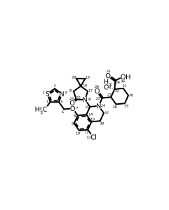 Cc1scnc1COc1ccc(Cl)c2c1C(N1CC3(CC3)CC1=O)N(C(=O)C1CCCC[C@]1(C)C(=O)O)CC2